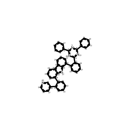 c1ccc(-c2nc(-c3ccccc3)nc(-c3ccccc3-c3cccc4c3sc3c(-c5ccccc5-c5cccnc5)cccc34)n2)cc1